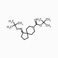 CC(C)(C)OC(=O)N1CCC2(CCC/C2=N\SC(C)(C)C)CC1